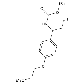 COCCOc1ccc(C(CO)NC(=O)OC(C)(C)C)cc1